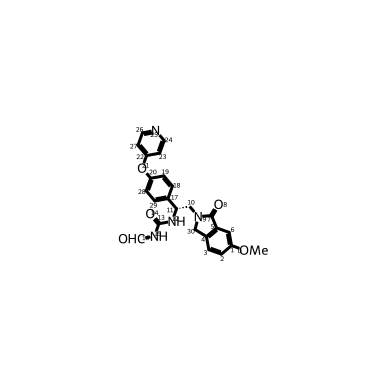 COc1ccc2c(c1)C(=O)N(C[C@H](NC(=O)NC=O)c1ccc(Oc3ccncc3)cc1)C2